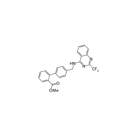 COC(=O)c1ccccc1-c1ccc(CNc2nc(C(F)(F)F)nc3ccccc23)cc1